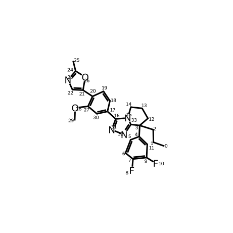 CCCC1(c2ccc(F)c(F)c2)CCCn2c(-c3ccc(-c4cnc(C)o4)c(OC)c3)nnc21